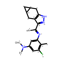 CCC/C(=N\c1cc(N(C=O)CC)cc(F)c1C)c1n[nH]c2c1CC1CC1C2